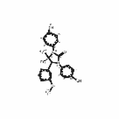 CC[C@]1(C)C(c2cccc(OC(F)(F)F)c2)N(c2ccc(C#N)cc2)C(=O)N1c1ccc(C#N)cc1